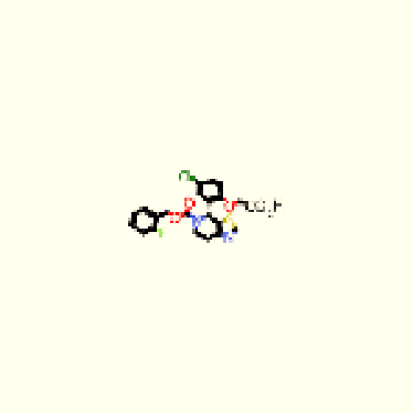 O=C(O)COc1ccc(Cl)cc1[C@@H]1c2scnc2CCN1C(=O)OCc1ccccc1F